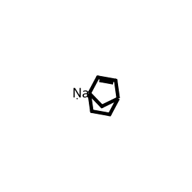 C1=CC2CCC1C2.[Na]